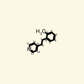 Cc1ccccc1[CH]Cc1ccncc1